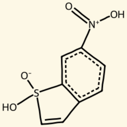 O=[N+](O)c1ccc2c(c1)S([O-])(O)C=C2